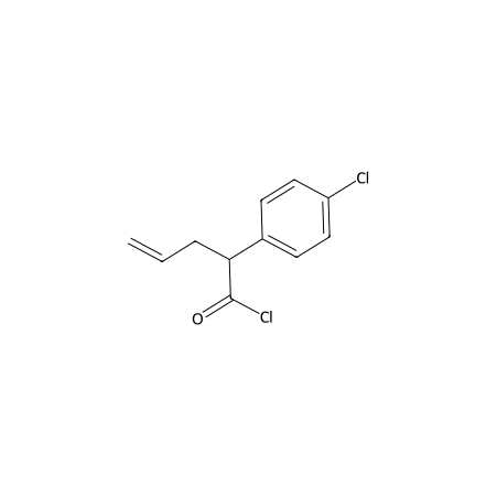 C=CCC(C(=O)Cl)c1ccc(Cl)cc1